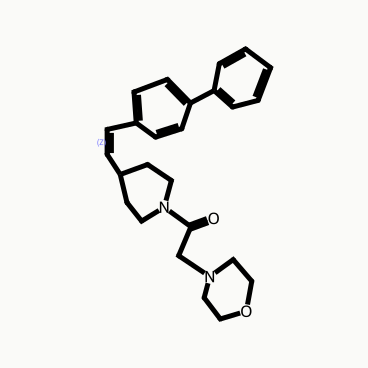 O=C(CN1CCOCC1)N1CCC(/C=C\c2ccc(-c3ccccc3)cc2)CC1